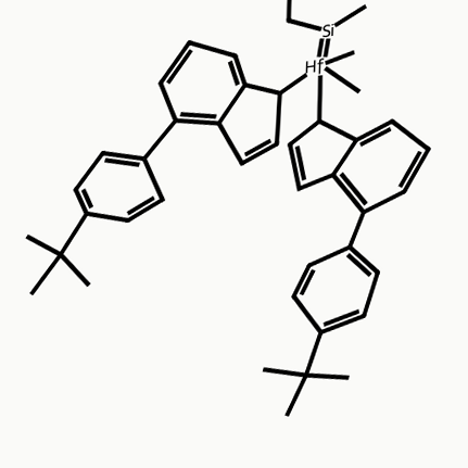 CC[Si](C)=[Hf]([CH3])([CH3])([CH]1C=Cc2c(-c3ccc(C(C)(C)C)cc3)cccc21)[CH]1C=Cc2c(-c3ccc(C(C)(C)C)cc3)cccc21